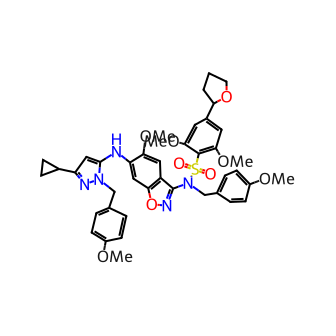 COc1ccc(CN(c2noc3cc(Nc4cc(C5CC5)nn4Cc4ccc(OC)cc4)c(OC)cc23)S(=O)(=O)c2c(OC)cc(C3CCCO3)cc2OC)cc1